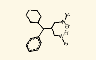 CCN(CC)CC(CN(CC)CC)C(c1ccccc1)C1CCCCC1